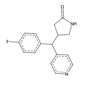 O=C1CC(C(c2ccncc2)c2ccc(F)cc2)CN1